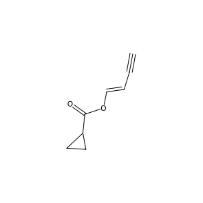 C#CC=COC(=O)C1CC1